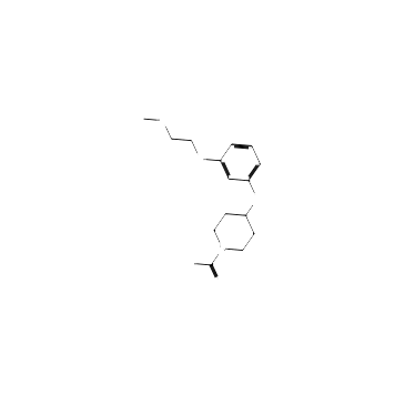 COCCOc1cccc(OC2CCN(C(=O)O)CC2)c1